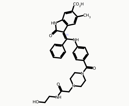 Cc1cc2c(cc1C(=O)O)NC(=O)/C2=C(/Nc1ccc(C(=O)N2CCN(CC(=O)NCCO)CC2)cc1)c1ccccc1